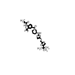 C=CC(=O)Nc1ccc(C(=O)N2CCC[C@@H](Nc3nc(SCc4ncc(C(C)(C)C)o4)cs3)C2)cc1C(F)(F)F